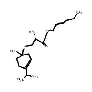 CCCCCCOC(=O)[C@@H](N)CSC1(C)CC=C(C(C)C)CC1